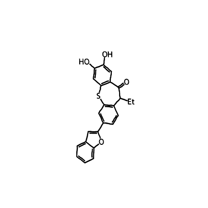 CCC1C(=O)c2cc(O)c(O)cc2Sc2cc(-c3cc4ccccc4o3)ccc21